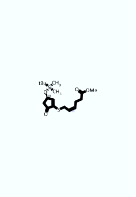 COC(=O)CC/C=C\CSC1=C[C@H](O[Si](C)(C)C(C)(C)C)CC1=O